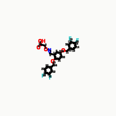 O=C(O)CO/N=C/c1cc(OCc2ccc(F)c(F)c2)ccc1OCc1ccc(F)c(F)c1